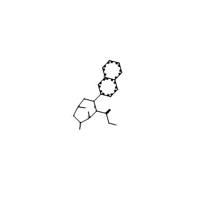 CCC(=O)C1C(c2ccc3ccccc3c2)CC2CC(O)C1N2